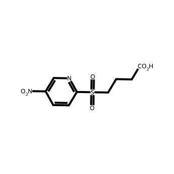 O=C(O)CCCS(=O)(=O)c1ccc([N+](=O)[O-])cn1